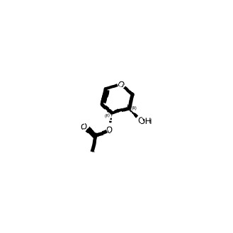 CC(=O)O[C@@H]1C=COC[C@H]1O